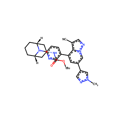 Cn1cc(-c2cc(-c3ccc(N4[C@@H]5CCC[C@H]4C[C@@H](NC(=O)OC(C)(C)C)C5)nc3)c3c(C#N)cnn3c2)cn1